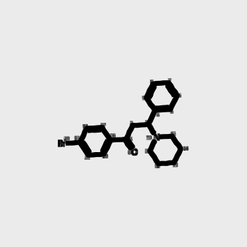 O=C(CC(c1ccccc1)N1CCCCC1)c1ccc(Br)cc1